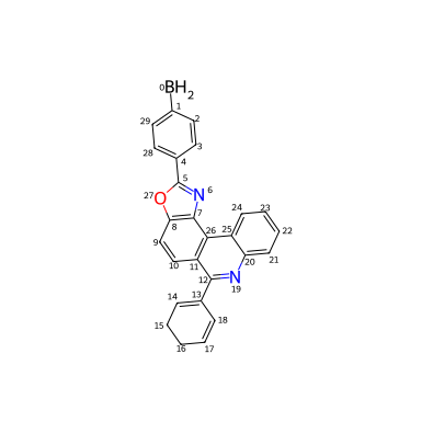 Bc1ccc(-c2nc3c(ccc4c(C5=CCCC=C5)nc5ccccc5c43)o2)cc1